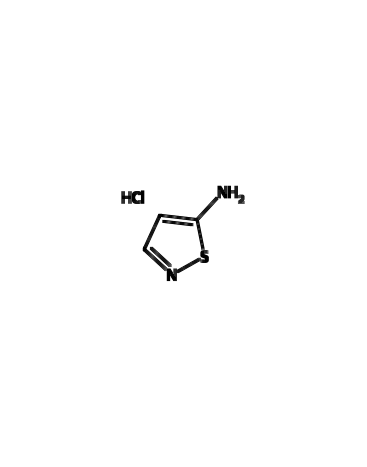 Cl.Nc1ccns1